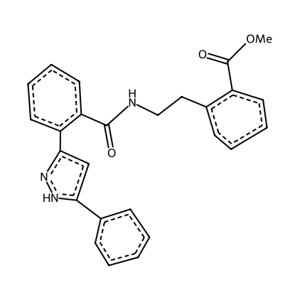 COC(=O)c1ccccc1CCNC(=O)c1ccccc1-c1cc(-c2ccccc2)[nH]n1